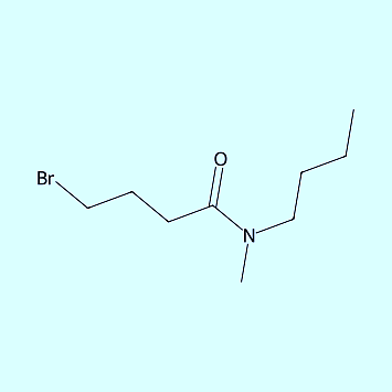 CCCCN(C)C(=O)CCCBr